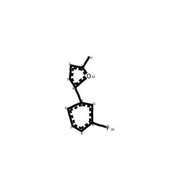 [CH2]c1ccc(-c2cccc(F)c2)o1